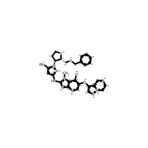 Cn1c(Nc2cc(C(C)(C)C)n([C@H]3CCO[C@@H]3COCc3ccccc3)n2)nc2ncc(Oc3cnn4ccncc34)c(Cl)c21